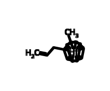 C=CC[C]12[CH]3[CH]4[CH]5[C]1(C)[Hf]45321678[CH]2[CH]1[CH]6[CH]7[CH]28